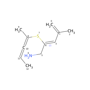 C=C(C)/C=C(/CN)SC(C)=C=CC